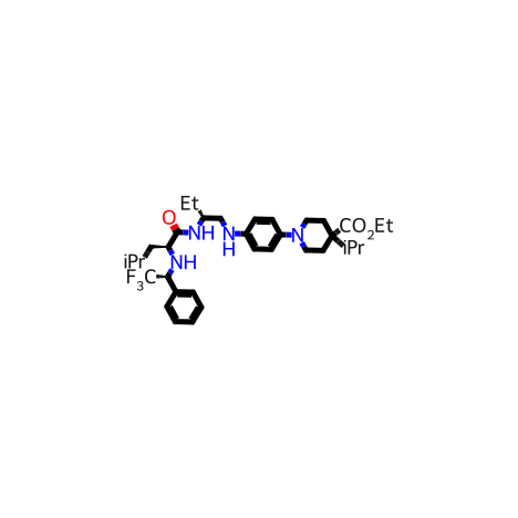 CCOC(=O)C1(C(C)C)CCN(c2ccc(NC[C@H](CC)NC(=O)[C@H](CC(C)C)N[C@@H](c3ccccc3)C(F)(F)F)cc2)CC1